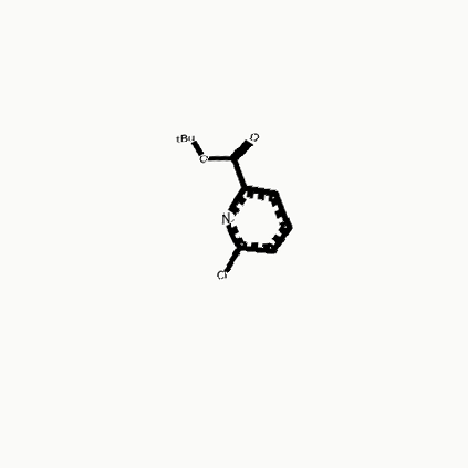 CC(C)(C)OC(=O)c1cccc(Cl)n1